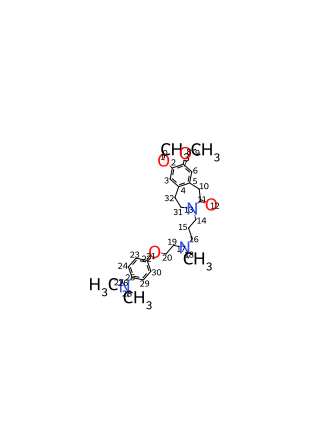 COc1cc2c(cc1OC)CC(=O)N(CCCN(C)CCOc1ccc(N(C)C)cc1)CC2